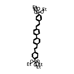 CCO[Si](OCC)(OCC)c1ccc(/C=C/c2ccc(-c3ccc(/C=C/c4ccc([Si](OCC)(OCC)OCC)cc4)cc3)cc2)cc1